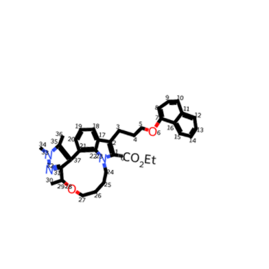 CCOC(=O)c1c(CCCOc2cccc3ccccc23)c2cccc3c2n1CCCCOC(C)c1nn(C)c(C)c1-3